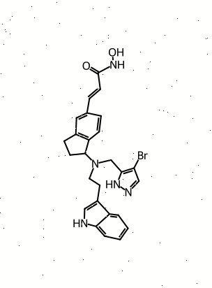 O=C(C=Cc1ccc2c(c1)CCC2N(CCc1c[nH]c2ccccc12)Cc1[nH]ncc1Br)NO